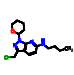 CCCCNc1ccc2c(CCl)nn(C3CCCCO3)c2n1